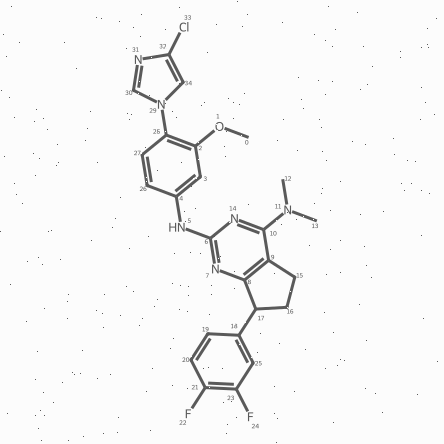 COc1cc(Nc2nc3c(c(N(C)C)n2)CCC3c2ccc(F)c(F)c2)ccc1-n1cnc(Cl)c1